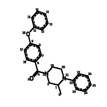 CC1CN(C(=O)c2ccc(Oc3ccccc3)cc2)CCN1c1ccccc1